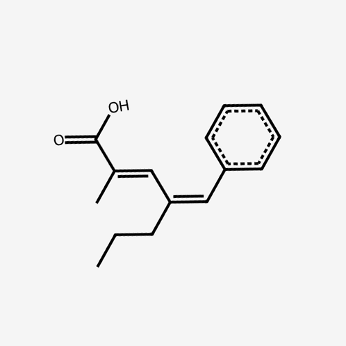 CCCC(=Cc1ccccc1)/C=C(\C)C(=O)O